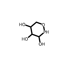 OC1COPC(O)C1O